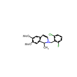 COc1cc2c(cc1OC)C(C)N(Cc1c(F)cccc1Cl)C=C2